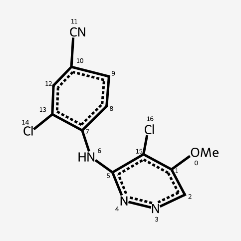 COc1cnnc(Nc2ccc(C#N)cc2Cl)c1Cl